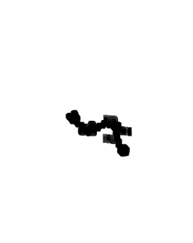 C#CCC(CC#C)CCC(=O)OC(C)OC(=O)CCC/C=C\C[C@@H]1[C@@H](CC[C@@H](O)CCc2ccccc2)[C@H](O)C[C@@H]1O